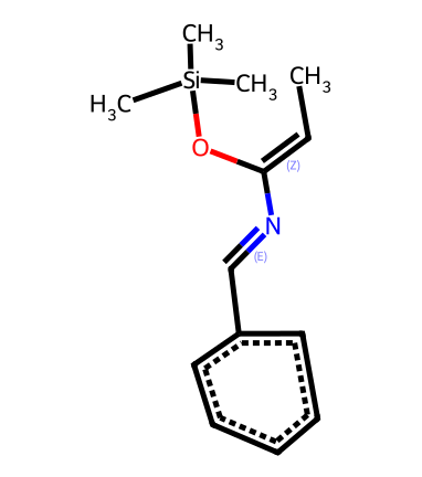 C/C=C(/N=C/c1ccccc1)O[Si](C)(C)C